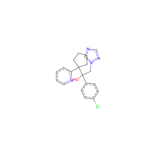 OC(Cn1cncn1)(c1ccc(Cl)cc1)C1(c2ccccn2)CCCC1